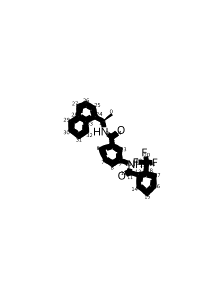 C[C@@H](NC(=O)c1cccc(NC(=O)c2ccccc2C(F)(F)F)c1)c1cccc2ccccc12